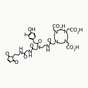 O=C(O)CN1CCN(CC(=O)O)CCN(CC(=O)NCCN(CC(=O)NCC(=O)NCCC2C(=O)C=CC2=O)C(=O)Cc2ccc(O)c(I)c2)CCN(CC(=O)O)CC1